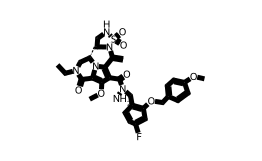 C=C(c1c(C(=O)N(N)Cc2ccc(F)cc2OCc2ccc(OC)cc2)c(OC)c2n1[C@@H](C)CN(CC)C2=O)N1CCNS1(=O)=O